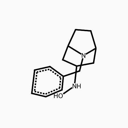 ONC1CC2CCC(C1)N2Cc1ccccc1